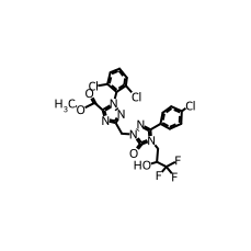 COC(=O)c1nc(Cn2nc(-c3ccc(Cl)cc3)n(CC(O)C(F)(F)F)c2=O)nn1-c1c(Cl)cccc1Cl